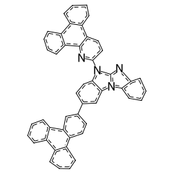 c1ccc2c(c1)nc1n(-c3ccc4c5ccccc5c5ccccc5c4n3)c3ccc(-c4ccc5c6ccccc6c6ccccc6c5c4)cc3n21